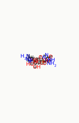 Nc1nc2c(ncn2[C@@H]2O[C@H](CO)[C@@H](O)[C@H]2P(=O)(O)OCC[C@H]2O[C@@H](c3ccc4c(N)ncnn34)[C@H](O)[C@@H]2O)c(=O)[nH]1